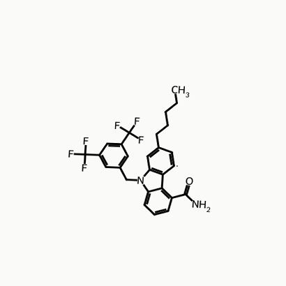 CCCCCc1c[c]c2c3c(C(N)=O)cccc3n(Cc3cc(C(F)(F)F)cc(C(F)(F)F)c3)c2c1